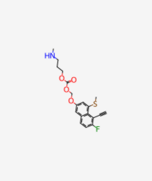 C#Cc1c(F)ccc2cc(OCOC(=O)OCCCNC)cc(SC)c12